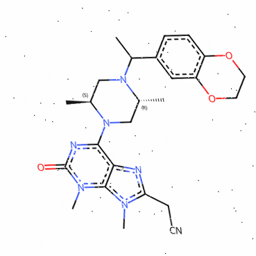 CC(c1ccc2c(c1)OCCO2)N1C[C@H](C)N(c2nc(=O)n(C)c3c2nc(CC#N)n3C)C[C@H]1C